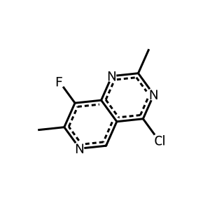 Cc1nc(Cl)c2cnc(C)c(F)c2n1